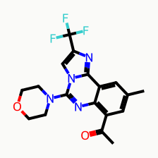 CC(=O)c1cc(C)cc2c1nc(N1CCOCC1)n1cc(C(F)(F)F)nc21